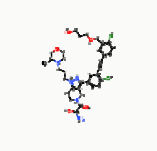 CC1COCCN1CCCn1nc(-c2ccc(Cl)c(C#Cc3ccc(Cl)c(COCCCO)c3)c2)c2c1CCN(C(=O)C(N)=O)C2